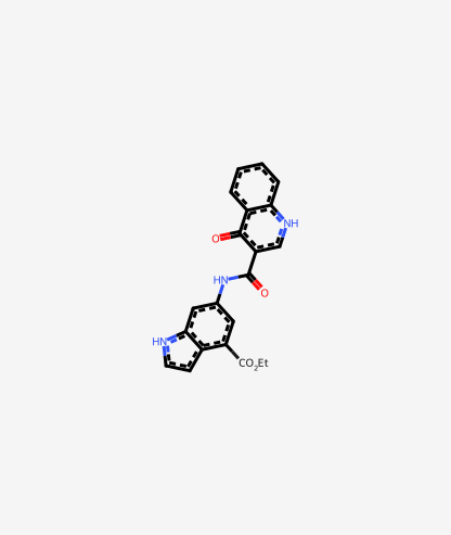 CCOC(=O)c1cc(NC(=O)c2c[nH]c3ccccc3c2=O)cc2[nH]ccc12